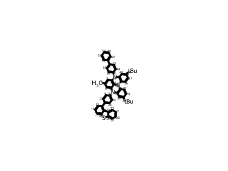 Cc1cc2c3c(c1)N(c1ccc(-c4cccc5sc6ccccc6c45)cc1)c1cc(C(C)(C)C)ccc1B3c1ccc(C(C)(C)C)cc1N2c1ccc(-c2ccccc2)cc1